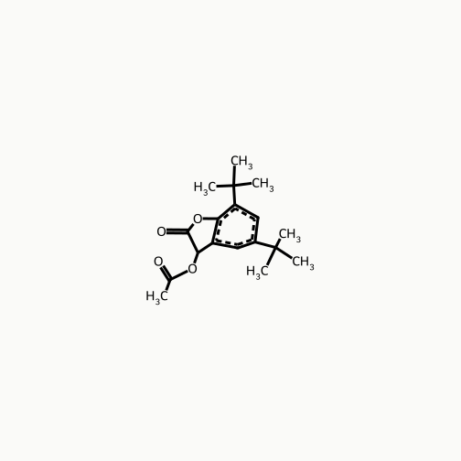 CC(=O)OC1C(=O)Oc2c1cc(C(C)(C)C)cc2C(C)(C)C